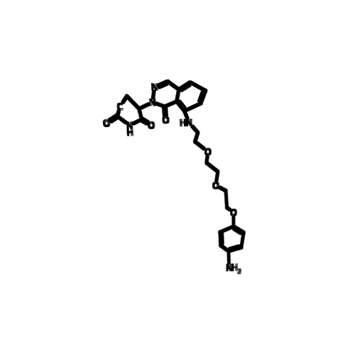 Nc1ccc(OCCOCCOCCNc2cccc3cnn(C4CCC(=O)NC4=O)c(=O)c23)cc1